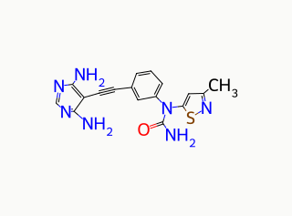 Cc1cc(N(C(N)=O)c2cccc(C#Cc3c(N)ncnc3N)c2)sn1